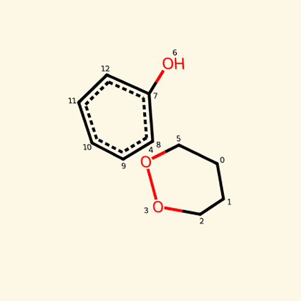 C1CCOOC1.Oc1ccccc1